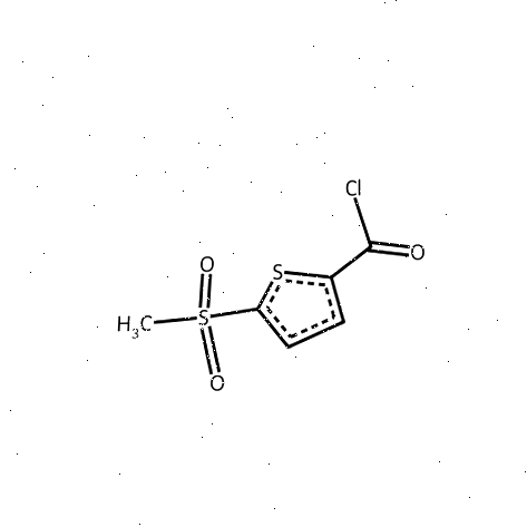 CS(=O)(=O)c1ccc(C(=O)Cl)s1